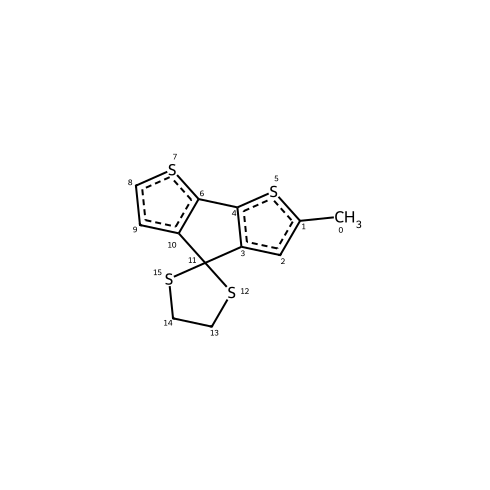 Cc1cc2c(s1)-c1sccc1C21SCCS1